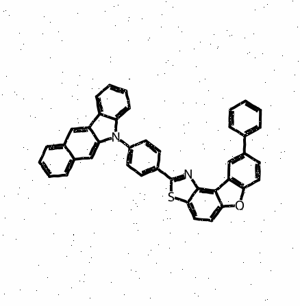 c1ccc(-c2ccc3oc4ccc5sc(-c6ccc(-n7c8ccccc8c8cc9ccccc9cc87)cc6)nc5c4c3c2)cc1